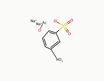 CC(=O)[O-].O=[N+]([O-])c1cccc(S(=O)(=O)[O-])c1.[Na+].[Na+]